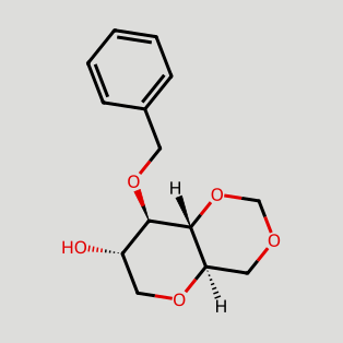 O[C@H]1CO[C@@H]2COCO[C@H]2[C@@H]1OCc1ccccc1